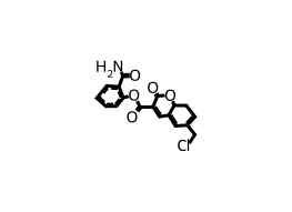 NC(=O)c1ccccc1OC(=O)C1=CC2=CC(CCl)=CCC2OC1=O